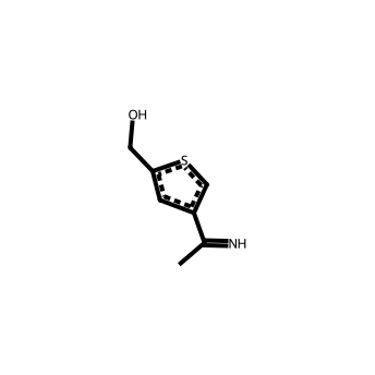 CC(=N)c1csc(CO)c1